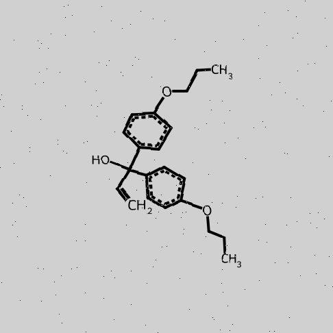 C=CC(O)(c1ccc(OCCC)cc1)c1ccc(OCCC)cc1